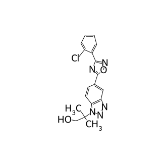 CC(C)(CO)n1nnc2cc(-c3nc(-c4ccccc4Cl)no3)ccc21